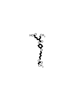 C=CC(=O)OCCCCCCOC1CCC(OC(=O)C(CCC)CCCC(=O)O)CC1